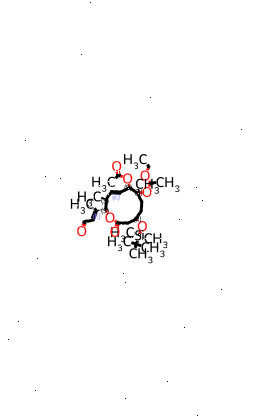 CCOC(C)O[C@]1(C)CC[C@@H](O[Si](C)(C)C(C)(C)C)CC(=O)O[C@H](/C(C)=C/C=O)[C@@H](C)/C=C/[C@H]1OC(C)=O